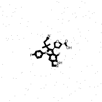 CC(C)(CC#N)c1c([C@H]2CO[C@H](C(=O)O)C2)c2c(F)c3[nH]ncc3cc2n1-c1ccc(F)cc1